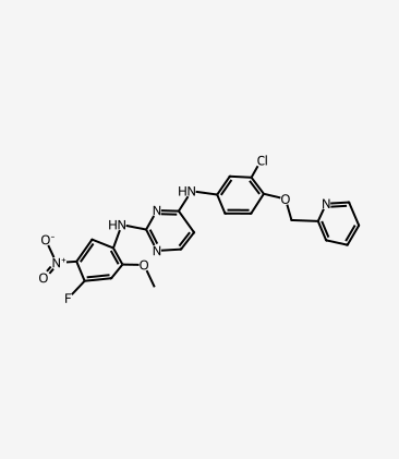 COc1cc(F)c([N+](=O)[O-])cc1Nc1nccc(Nc2ccc(OCc3ccccn3)c(Cl)c2)n1